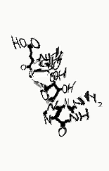 Nc1nc2c(ncn2[C@@H]2O[C@H](CN(C(=O)[C@@H](N)CC(=O)O)P(=O)(O)O)C(O)C2O)c(=O)[nH]1